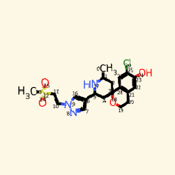 CC1CC2(CC(c3cnn(CCS(C)(=O)=O)c3)N1)OCCc1cc(O)c(Cl)cc12